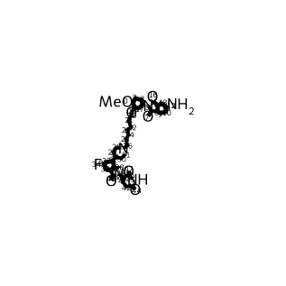 COc1ccc(N2C(=O)c3ccc(N)cc3C2=O)cc1OCCCCCCCN1CCC(c2cc(F)cc3c2CN(C2CCC(=O)NC2=O)C3=O)CC1